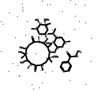 CC[C@H]1OC(=O)[C@H](C)[C@@H](O[C@H]2C[C@@](C)(OC)[C@@H](O)[C@H](C)O2)C(C)[C@@H](O[C@@H]2O[C@H](C)C[C@H](N(C)C)[C@H]2O)[C@](C)(OC)C[C@@H](C)C(=O)[C@H](C)[C@@H](O)[C@]1(C)O.NNC(=O)c1ccncc1